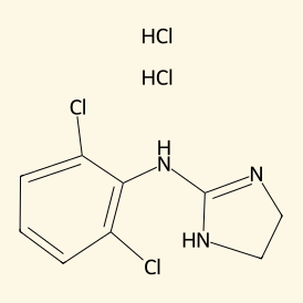 Cl.Cl.Clc1cccc(Cl)c1NC1=NCCN1